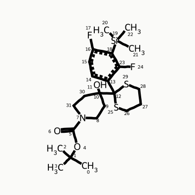 CC(C)(C)OC(=O)N1CCC(O)(C2(c3ccc(F)c([Si](C)(C)C)c3F)SCCCS2)CC1